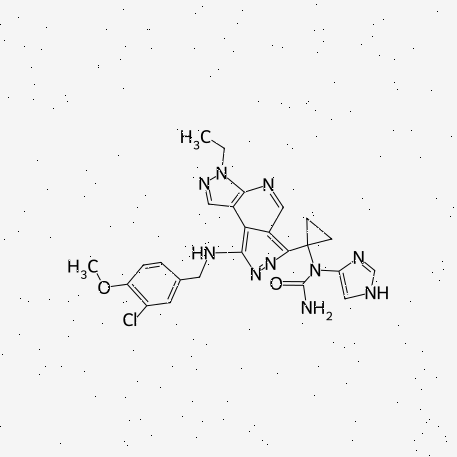 CCn1ncc2c3c(NCc4ccc(OC)c(Cl)c4)nnc(C4(N(C(N)=O)c5c[nH]cn5)CC4)c3cnc21